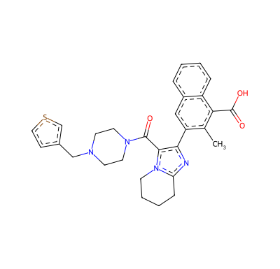 Cc1c(-c2nc3n(c2C(=O)N2CCN(Cc4ccsc4)CC2)CCCC3)cc2ccccc2c1C(=O)O